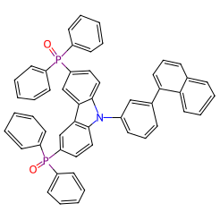 O=P(c1ccccc1)(c1ccccc1)c1ccc2c(c1)c1cc(P(=O)(c3ccccc3)c3ccccc3)ccc1n2-c1cccc(-c2cccc3ccccc23)c1